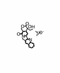 CC[C@@]1(O)C(=O)OCc2c1cc1n(c2=O)Cc2cc3ccccc3nc2-1.C[S+](C)[O-]